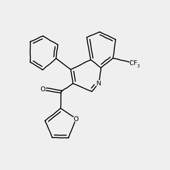 O=C(c1ccco1)c1cnc2c(C(F)(F)F)cccc2c1-c1ccccc1